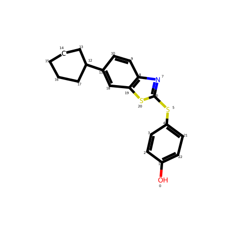 Oc1ccc(Sc2nc3ccc(C4CCCCC4)cc3s2)cc1